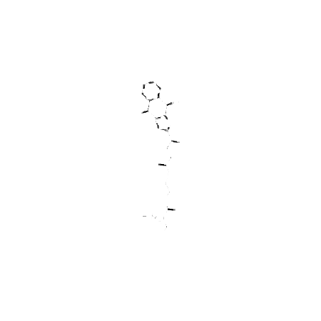 N[C@@H](CO)C(=O)OCCOC(=O)CCC(=O)c1cc2c(o1)C(=O)c1ccccc1C2=O